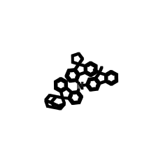 CC1(C)c2ccccc2-c2ccc(N(c3cccc4c3-c3ccccc3C43CCCC3)c3cccc4c3-c3ccccc3C43C4CC5CC(C4)CC3C5)cc21